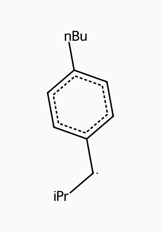 CCCCc1ccc([CH]C(C)C)cc1